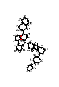 c1ccc(-c2ccc(-c3cccc4oc5cc(N(c6ccc(-c7ccc8ccccc8c7)cc6)c6ccccc6-c6ccccc6)ccc5c34)cc2)cc1